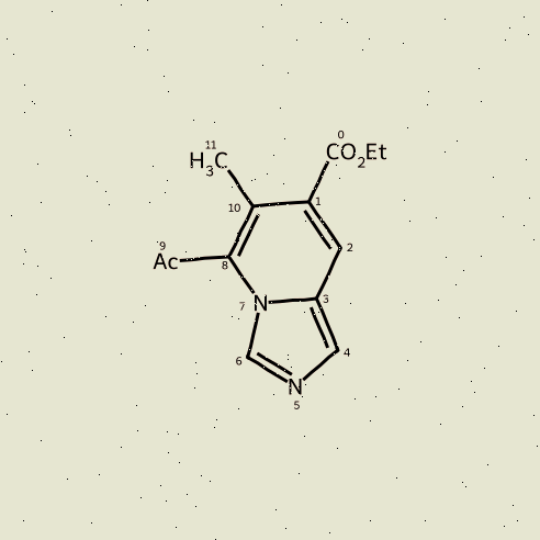 CCOC(=O)c1cc2cncn2c(C(C)=O)c1C